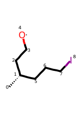 C[C@H](CC[O])CCCI